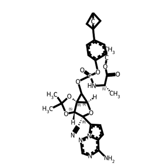 CCOC(=O)[C@H](C)NP(=O)(Oc1ccc(C23CC(C2)C3)cc1)OC1[C@H]2O[C@@](C#N)(c3ccc4c(N)ncnn34)[C@@H]3OC(C)(C)O[C@]123